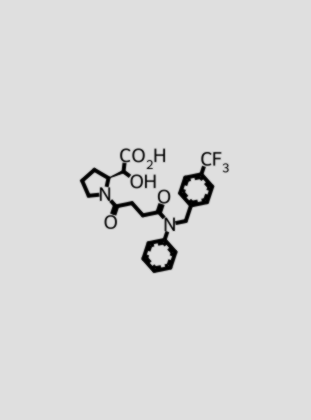 O=C(O)C(O)[C@@H]1CCCN1C(=O)CCC(=O)N(Cc1ccc(C(F)(F)F)cc1)c1ccccc1